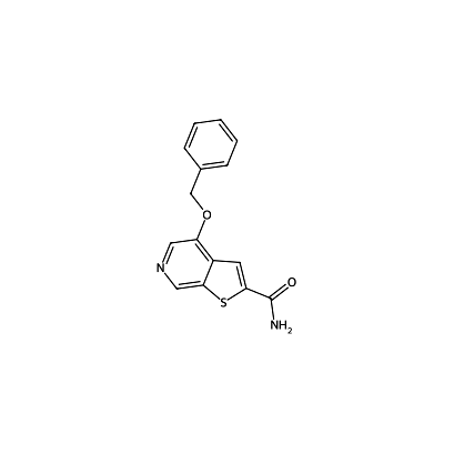 NC(=O)c1cc2c(OCc3ccccc3)cncc2s1